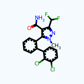 Cn1nc(C(F)F)c(C(N)=O)c1-c1ccccc1-c1cccc(Cl)c1Cl